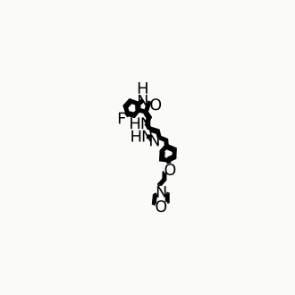 O=C1Nc2ccc(F)cc2/C1=C\Nc1cc(Cc2ccc(OCCCN3CCOCC3)cc2)n[nH]1